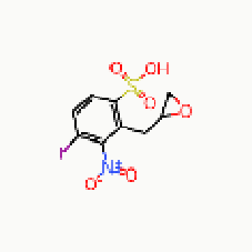 O=[N+]([O-])c1c(I)ccc(S(=O)(=O)O)c1CC1CO1